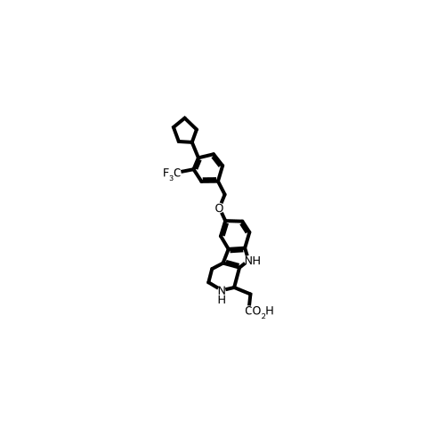 O=C(O)CC1NCCc2c1[nH]c1ccc(OCc3ccc(C4CCCC4)c(C(F)(F)F)c3)cc21